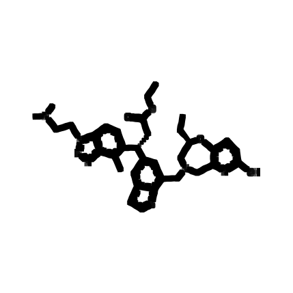 CCOC(=O)C[C@H](c1cc(CN2Cc3nc(O)ccc3O[C@H](CC)C2)c2sccc2c1)c1ccc2c(nnn2CCN(C)C)c1C